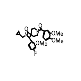 COc1cc(C(=O)N2CCC3(CC2)C(=O)N(CC2CC2)C3c2ccc(F)cc2)cc(OC)c1OC